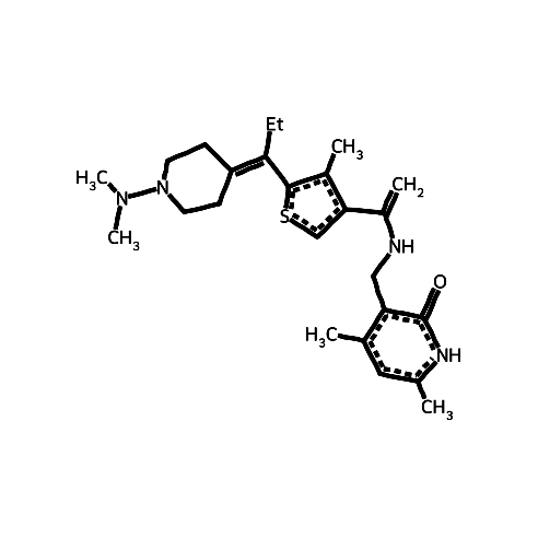 C=C(NCc1c(C)cc(C)[nH]c1=O)c1csc(C(CC)=C2CCN(N(C)C)CC2)c1C